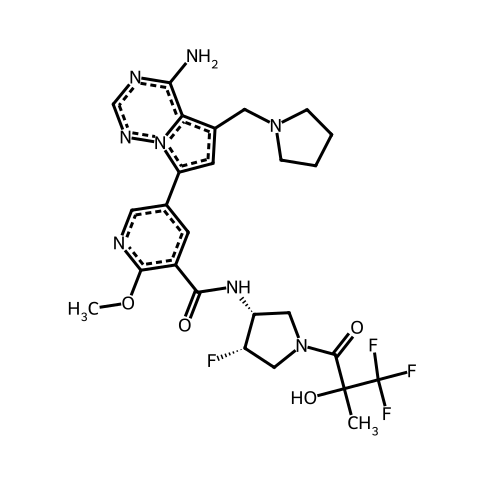 COc1ncc(-c2cc(CN3CCCC3)c3c(N)ncnn23)cc1C(=O)N[C@@H]1CN(C(=O)C(C)(O)C(F)(F)F)C[C@@H]1F